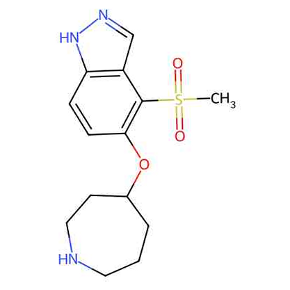 CS(=O)(=O)c1c(OC2CCCNCC2)ccc2[nH]ncc12